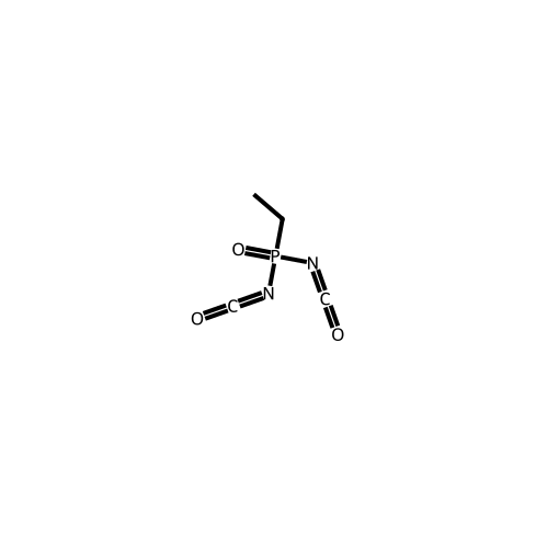 CCP(=O)(N=C=O)N=C=O